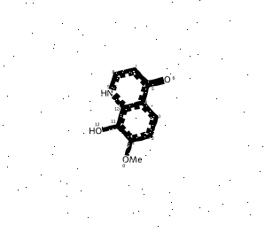 COc1ccc2c(=O)cc[nH]c2c1O